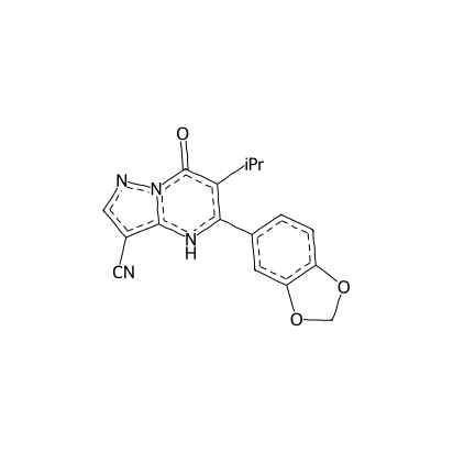 CC(C)c1c(-c2ccc3c(c2)OCO3)[nH]c2c(C#N)cnn2c1=O